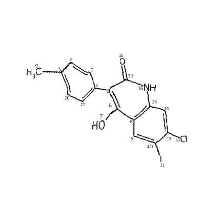 Cc1ccc(-c2c(O)c3cc(I)c(Cl)cc3[nH]c2=O)cc1